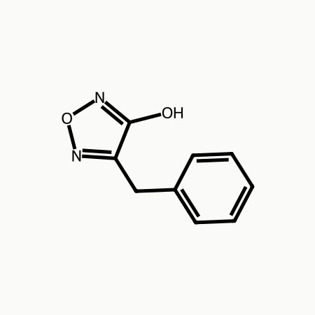 Oc1nonc1Cc1ccccc1